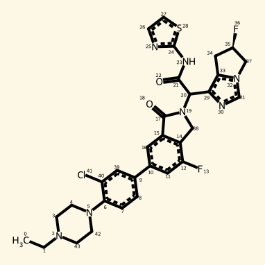 CCN1CCN(c2ccc(-c3cc(F)c4c(c3)C(=O)N(C(C(=O)Nc3nccs3)c3ncn5c3C[C@@H](F)C5)C4)cc2Cl)CC1